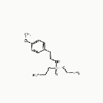 CCOP(=O)(NCCc1ccc(OC)cc1)OCC